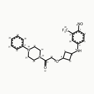 O=Nc1ccc(NC2CC(OCC(=O)N3CCN(c4ccccc4)CC3)C2)cc1C(F)(F)F